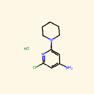 Cl.Nc1cc(Cl)nc(N2CCCCC2)c1